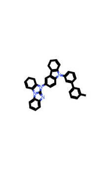 Cc1cccc(-c2cccc(-n3c4c(c5cc(-n6c7c(n8c9ccccc9nc68)C=CCC7)ccc53)CCC=C4)c2)c1